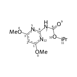 COc1cc(OC)nc(NC(=O)OC(C)C)n1